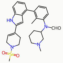 Cc1c(-c2cccc3[nH]c(C4=CCN(S(C)(=O)=O)CC4)cc23)cccc1N(C=O)C1CCCN(C)C1